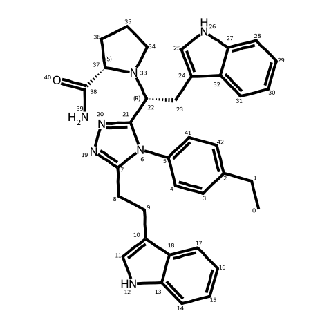 CCc1ccc(-n2c(CCc3c[nH]c4ccccc34)nnc2[C@@H](Cc2c[nH]c3ccccc23)N2CCC[C@H]2C(N)=O)cc1